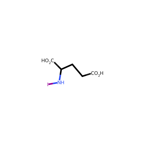 O=C(O)CCC(NI)C(=O)O